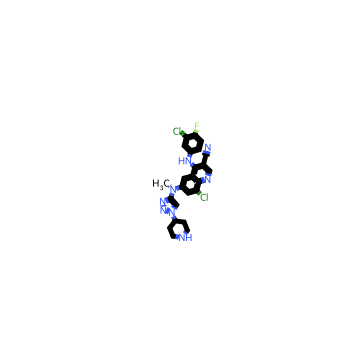 CN(c1cc(Cl)c2ncc(C#N)c(Nc3ccc(F)c(Cl)c3)c2c1)c1cn(C2CCNCC2)nn1